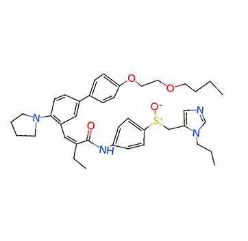 CCCCOCCOc1ccc(-c2ccc(N3CCCC3)c(C=C(CC)C(=O)Nc3ccc([S+]([O-])Cc4cncn4CCC)cc3)c2)cc1